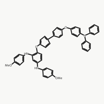 COc1ccc(Nc2ccc(Oc3ccc(-c4ccc(Oc5ccc(N(c6ccccc6)c6ccccc6)cc5)cc4)cc3)c(Nc3ccc(OC)cc3)c2)cc1